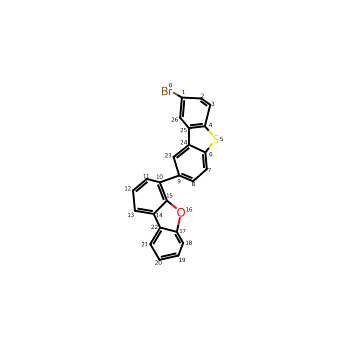 Brc1ccc2sc3ccc(-c4cccc5c4oc4ccccc45)cc3c2c1